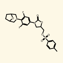 Cc1ccc(S(=O)(=O)OCC2CN(c3cc(F)c(N4CC5CCC(C4)O5)c(F)c3)C(=O)O2)cc1